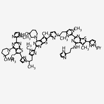 CO[C@@H]1CCCN(c2nc(-c3nc(CC(C)n4ccc(-c5sc6nc(-c7nccn7C)nc(N7CCC[C@H](OC)C7)c6c5C)n4)cn3C)nc3sc(-c4ccn(C(C)Cc5cn(C)c(-c6nc(NCCc7ncc[nH]7)c7c(C)c(-c8ccn(C(C)C)n8)sc7n6)n5)n4)c(C)c23)C1